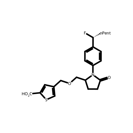 CCCCC[C@@H](F)c1ccc(N2C(=O)CCC2COCc2csc(C(=O)O)c2)cc1